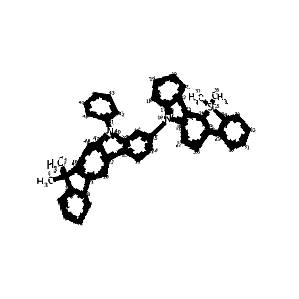 CC1(C)c2ccccc2-c2cc3c4ccc(-n5c6ccccc6c6c7c(ccc65)-c5ccccc5[Si]7(C)C)cc4n(-c4ccccc4)c3cc21